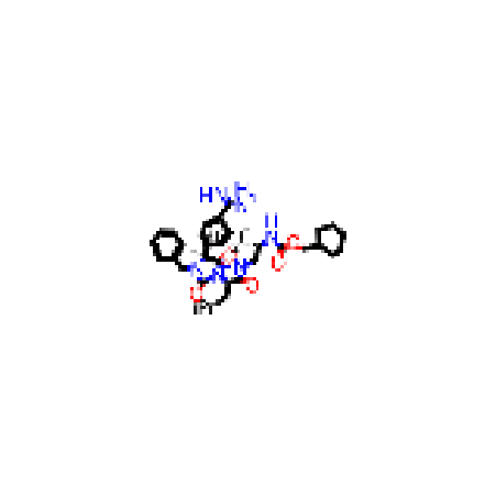 CC(C)CC(C(=O)NC[C@H](NC(=O)OCC1CCCCC1)C(=O)O)N1C(=O)N(Cc2ccccc2)[C@@](C)(c2ccc(C(=N)N)cc2)C1=O